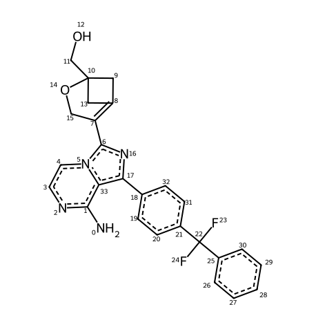 Nc1nccn2c(C3=C4CC(CO)(C4)OC3)nc(-c3ccc(C(F)(F)c4ccccc4)cc3)c12